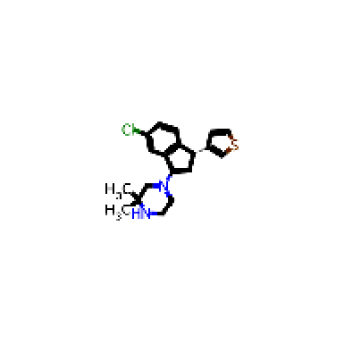 CC1(C)CN([C@@H]2C[C@@H](c3ccsc3)c3ccc(Cl)cc32)CCN1